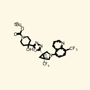 CC(C)(C)OC(=O)N1CCC(O)(c2nnc([C@]34CN(c5ccc(C(F)(F)F)c6ncccc56)C[C@@]3(C(F)(F)F)C4)o2)CC1